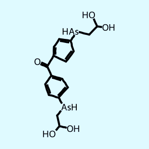 O=C(c1ccc([AsH]CC(O)O)cc1)c1ccc([AsH]CC(O)O)cc1